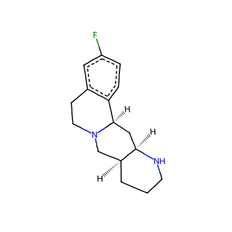 Fc1ccc2c(c1)CCN1C[C@@H]3CCCN[C@@H]3C[C@H]21